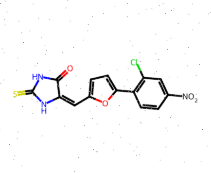 O=C1NC(=S)NC1=Cc1ccc(-c2ccc([N+](=O)[O-])cc2Cl)o1